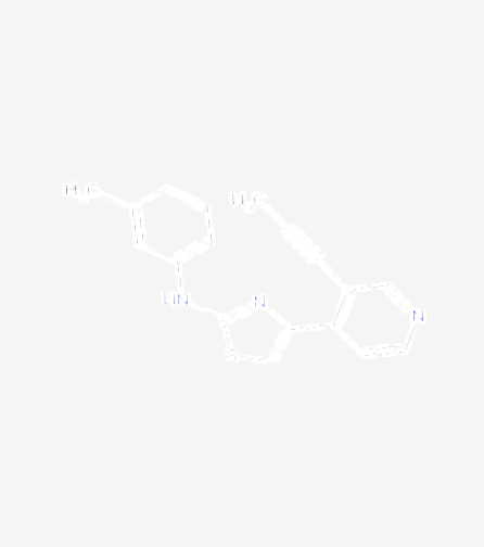 CC#Cc1cnccc1-c1csc(Nc2cccc(C)c2)n1